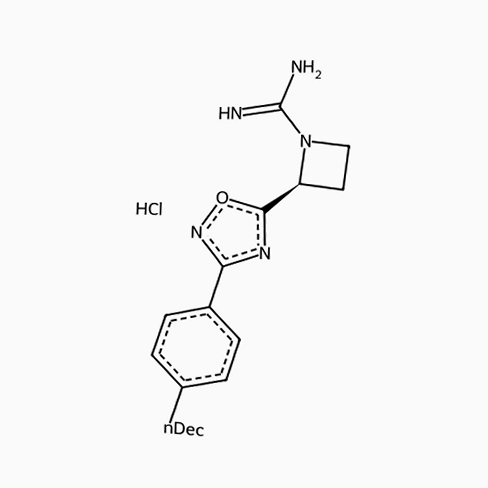 CCCCCCCCCCc1ccc(-c2noc([C@@H]3CCN3C(=N)N)n2)cc1.Cl